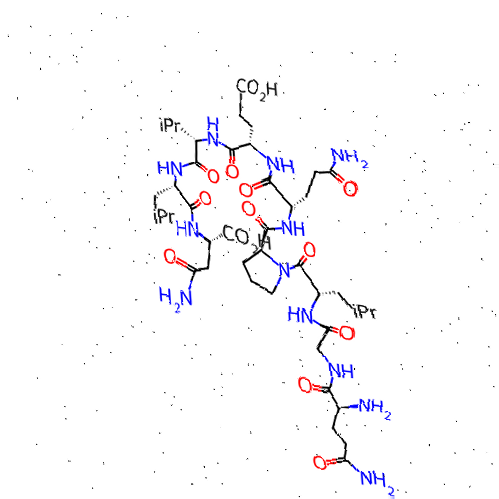 CC(C)C[C@H](NC(=O)[C@@H](NC(=O)[C@H](CCC(=O)O)NC(=O)[C@H](CCC(N)=O)NC(=O)[C@@H]1CCCN1C(=O)[C@H](CC(C)C)NC(=O)CNC(=O)[C@@H](N)CCC(N)=O)C(C)C)C(=O)N[C@@H](CC(N)=O)C(=O)O